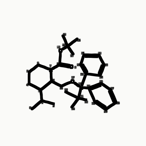 CC(C)C1CCCN(C(=O)OC(C)(C)C)C1CO[Si](c1ccccc1)(c1ccccc1)C(C)(C)C